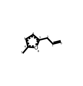 C=CCc1ccc(C)o1